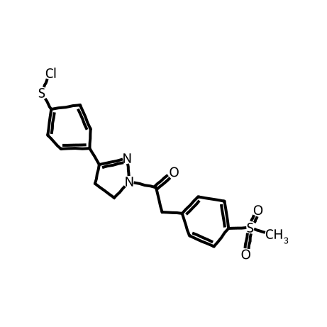 CS(=O)(=O)c1ccc(CC(=O)N2CCC(c3ccc(SCl)cc3)=N2)cc1